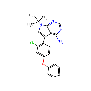 CC(C)(C)n1cc(-c2ccc(Oc3ccccc3)cc2Cl)c2c(N)ncnc21